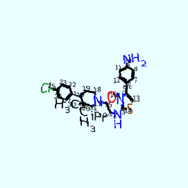 CC(C)[C@@H](Nc1nc(-c2ccc(N)cc2)cs1)C(=O)N1CC[C@H](c2ccc(Cl)cc2)C(C)(C)C1